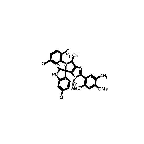 COc1cc(OC)c(-c2nc3c(n2C(C)C)C2(C(=O)Nc4cc(Cl)ccc42)N(c2cc(Cl)ccc2C)C3O)cc1C